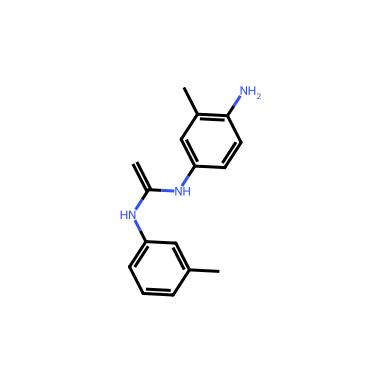 C=C(Nc1cccc(C)c1)Nc1ccc(N)c(C)c1